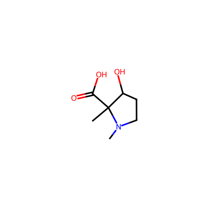 CN1CCC(O)C1(C)C(=O)O